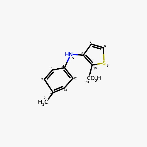 Cc1ccc(Nc2ccsc2C(=O)O)cc1